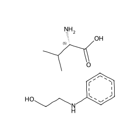 CC(C)[C@H](N)C(=O)O.OCCNc1ccccc1